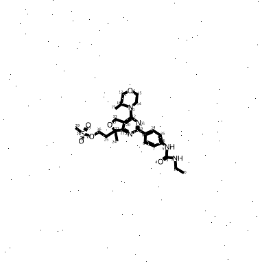 CCNC(=O)Nc1ccc(-c2nc(N3CCOCC3C)c3c(n2)C(C)(CCOS(C)(=O)=O)OC3)cc1